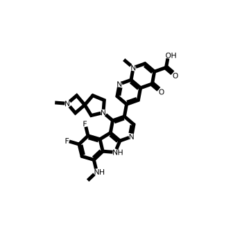 CNc1cc(F)c(F)c2c1[nH]c1ncc(-c3cnc4c(c3)c(=O)c(C(=O)O)cn4C)c(N3CCC4(CN(C)C4)C3)c12